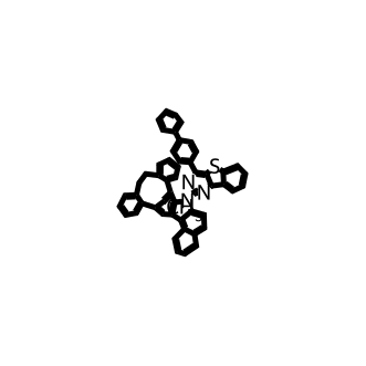 Cc1c2cc3c4c5ccccc5ccc4n(-c4nc(-c5ccc(-c6ccccc6)cc5)c5sc6ccccc6c5n4)c3c1-c1ccccc1CCc1ccccc1-2